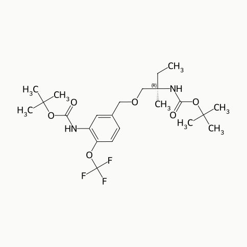 CC[C@](C)(COCc1ccc(OC(F)(F)F)c(NC(=O)OC(C)(C)C)c1)NC(=O)OC(C)(C)C